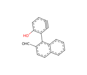 O=Cc1ccc2ccccc2c1-c1c#cccc1O